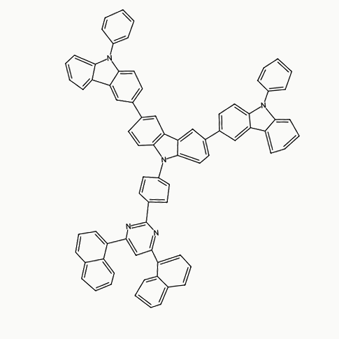 c1ccc(-n2c3ccccc3c3cc(-c4ccc5c(c4)c4cc(-c6ccc7c(c6)c6ccccc6n7-c6ccccc6)ccc4n5-c4ccc(-c5nc(-c6cccc7ccccc67)cc(-c6cccc7ccccc67)n5)cc4)ccc32)cc1